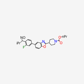 CCCOC(=O)N1CCC(c2nc3cc(-c4ccc(C(N=O)C(C)C)c(F)c4)ccc3o2)CC1